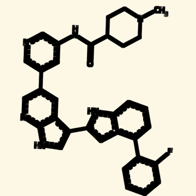 CN1CCC(C(=O)Nc2cncc(-c3cnc4[nH]cc(-c5cc6c(-c7ccccc7F)cccc6[nH]5)c4c3)c2)CC1